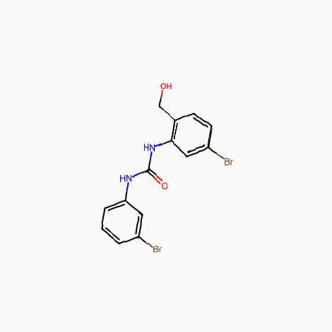 O=C(Nc1cccc(Br)c1)Nc1cc(Br)ccc1CO